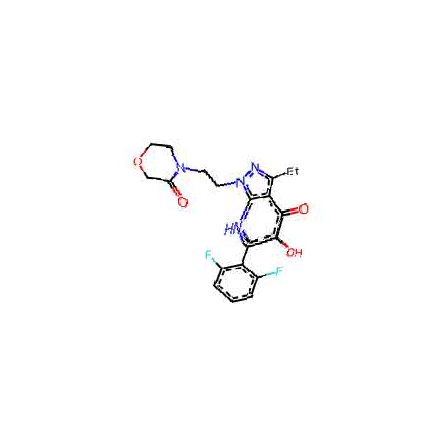 CCc1nn(CCN2CCOCC2=O)c2[nH]c(-c3c(F)cccc3F)c(O)c(=O)c12